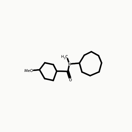 COC1CCC(C(=O)N(C)C2CCCCCCC2)CC1